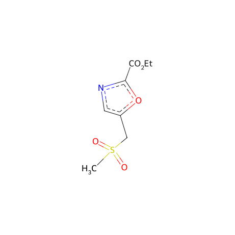 CCOC(=O)c1ncc(CS(C)(=O)=O)o1